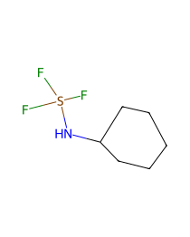 FS(F)(F)NC1CCCCC1